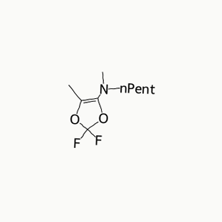 CCCCCN(C)C1=C(C)OC(F)(F)O1